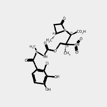 C[C@@H]1CC(=O)N1[C@@H](C(=O)O)[C@](C)(COC(=O)NN(C)C(=O)c1ccc(O)c(O)c1Cl)[SH](=O)=O